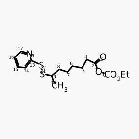 CCOC(=O)OC(=O)CCCCCC(C)SSc1ccccn1